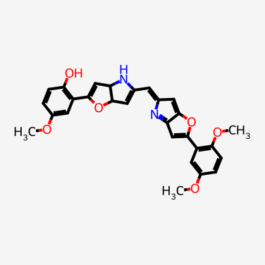 COc1ccc(O)c(C2=CC3NC(/C=C4/C=c5oc(-c6cc(OC)ccc6OC)cc5=N4)=CC3O2)c1